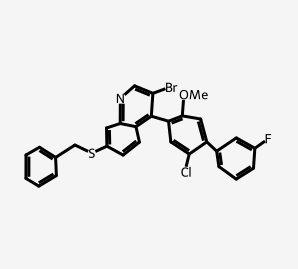 COc1cc(-c2cccc(F)c2)c(Cl)cc1-c1c(Br)cnc2cc(SCc3ccccc3)ccc12